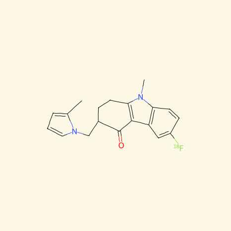 Cc1cccn1CC1CCc2c(c3cc([18F])ccc3n2C)C1=O